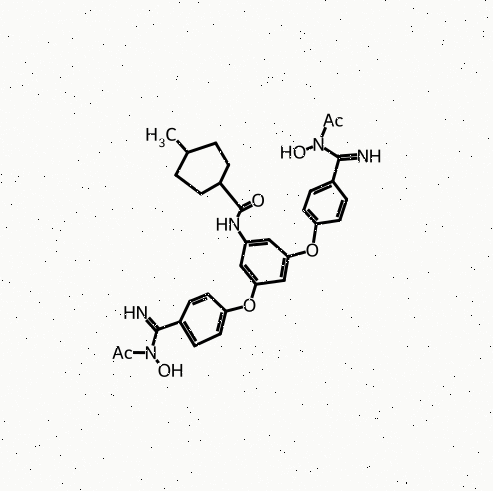 CC(=O)N(O)C(=N)c1ccc(Oc2cc(NC(=O)C3CCC(C)CC3)cc(Oc3ccc(C(=N)N(O)C(C)=O)cc3)c2)cc1